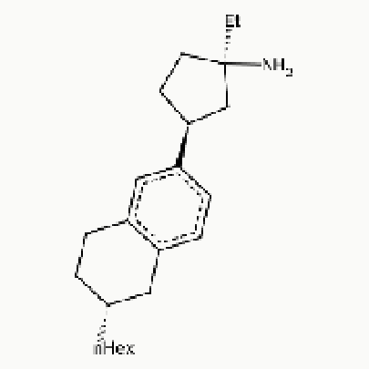 CCCCCC[C@@H]1CCc2cc([C@H]3CC[C@](N)(CC)C3)ccc2C1